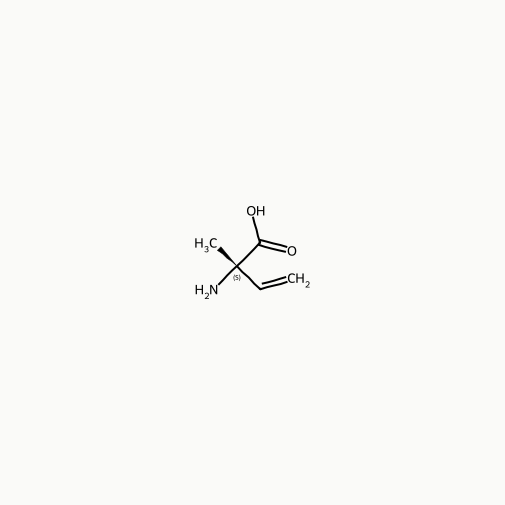 C=C[C@](C)(N)C(=O)O